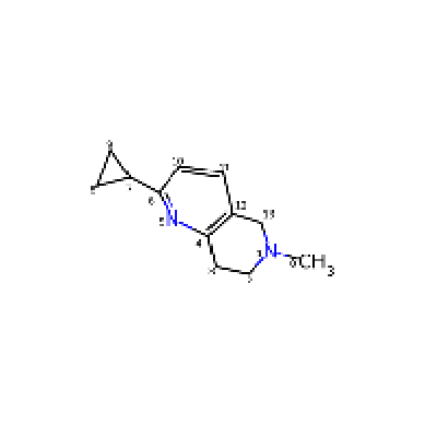 CN1CCc2nc(C3CC3)ccc2C1